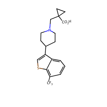 O=C(O)C1(CN2CCC(c3csc4c(C(F)(F)F)cccc34)CC2)CC1